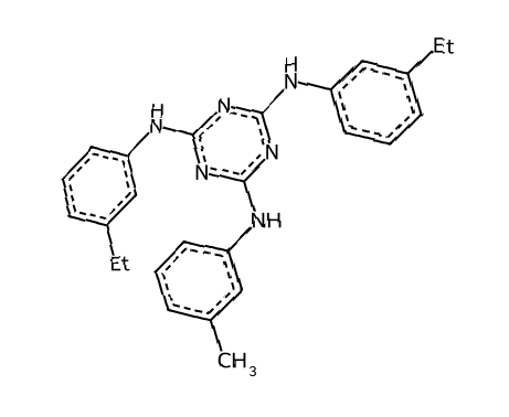 CCc1cccc(Nc2nc(Nc3cccc(C)c3)nc(Nc3cccc(CC)c3)n2)c1